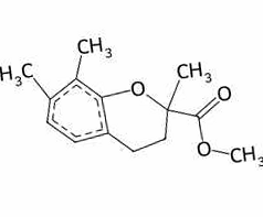 COC(=O)C1(C)CCc2ccc(C)c(C)c2O1